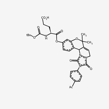 CC(=O)c1ccc(-n2c(=O)n3n(c2=O)C2C(=CC3)C(C)(C)Oc3cc(OC(=O)[C@H](CCC(=O)O)NC(=O)OC(C)(C)C)ccc32)cc1